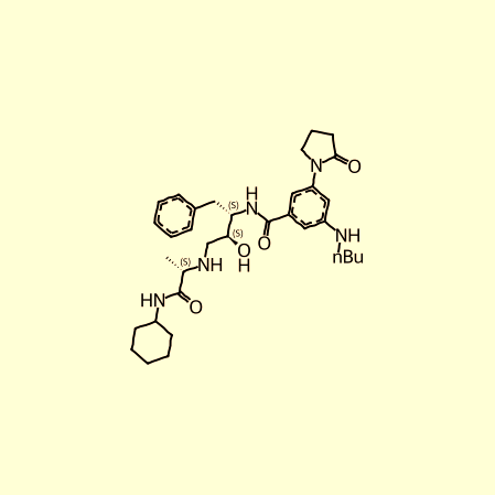 CCCCNc1cc(C(=O)N[C@@H](Cc2ccccc2)[C@@H](O)CN[C@@H](C)C(=O)NC2CCCCC2)cc(N2CCCC2=O)c1